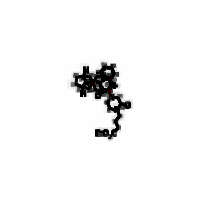 CCOC(=O)CCCN1CCN(c2nc3ccccc3n([C@H]3C[C@H]4CC[C@@H](C3)N4C3CCCCCCC3)c2=O)CC1=O